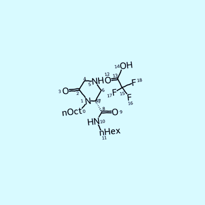 CCCCCCCCN1C(=O)CNC[C@@H]1C(=O)NCCCCCC.O=C(O)C(F)(F)F